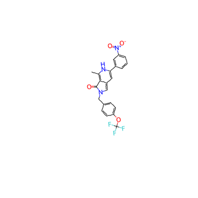 Cc1[nH]c(-c2cccc([N+](=O)[O-])c2)cc2cn(Cc3ccc(OC(F)(F)F)cc3)c(=O)c1-2